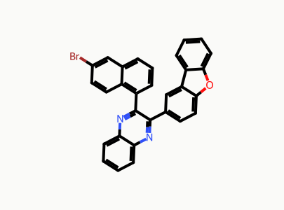 Brc1ccc2c(-c3nc4ccccc4nc3-c3ccc4oc5ccccc5c4c3)cccc2c1